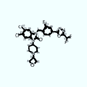 O=c1n(Cc2ccc(-c3nnc(C(F)F)o3)cc2F)c2cc(Cl)c(Cl)cc2n1C1CCN(C2COC2)CC1